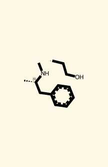 CN[C@@H](C)Cc1ccccc1.[CH2]CCO